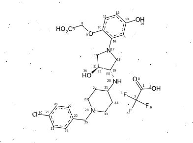 O=C(O)C(F)(F)F.O=C(O)COc1ccc(O)cc1N1C[C@H](NC2CCN(Cc3ccc(Cl)cc3)CC2)[C@@H](O)C1